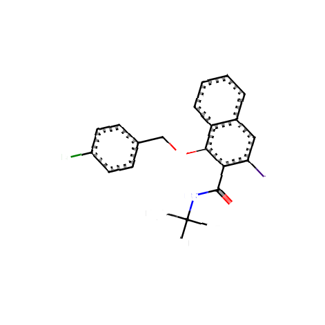 CC(C)(NC(=O)c1c(I)cc2ccccc2c1OCc1ccc(Br)cc1)C(=O)O